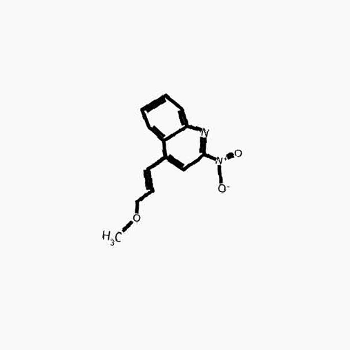 COC/C=C/c1cc([N+](=O)[O-])nc2ccccc12